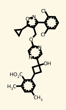 Cc1cc(C)c(C(=O)O)c(C2CC(O)(c3cnc(OCc4c(-c5c(Cl)cccc5Cl)noc4C4CC4)cn3)C2)c1